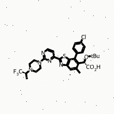 Cc1cc2nc(-c3ccnc(N4CCN([C@@H](C)C(F)(F)F)CC4)n3)sc2c(-c2ccc(Cl)cc2)c1[C@H](OC(C)(C)C)C(=O)O